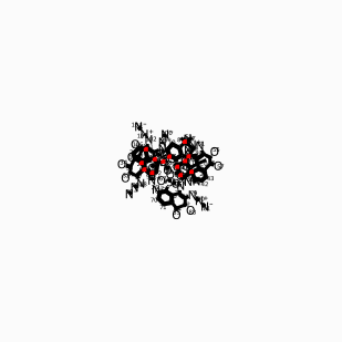 CC1(C)CC2(CC(C)(C)c3ccc(OS(=O)(=O)c4cccc5c4C(N=[N+]=[N-])=C(N=[N+]=[N-])C(=O)C5=O)c(OS(=O)(=O)c4cccc5c4C(N=[N+]=[N-])=C(N=[N+]=[N-])C(=O)C5=O)c32)c2c1ccc(OS(=O)(=O)c1cccc3c1C(N=[N+]=[N-])=C(N=[N+]=[N-])C(=O)C3=O)c2OS(=O)(=O)c1cccc2c1C(N=[N+]=[N-])=C(N=[N+]=[N-])C(=O)C2=O